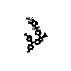 O=C(O)c1ccc(S(=O)(=O)N2CCC(c3c4cc(C(c5ccc(Cl)cc5)c5ccc(Cl)cc5)ccc4nn3C3CC3)CC2)cc1F